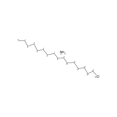 CCCCCCCCCCCCCCCCCl.N